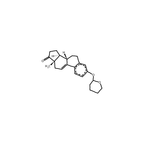 C[C@]12CC=C3c4ccc(OC5CCCCO5)cc4CC[C@H]3[C@@H]1CCC2=O